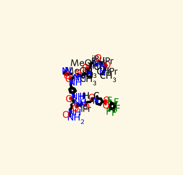 CC[C@H](C)[C@@H]([C@@H](CC(=O)N1CCC[C@H]1[C@H](OC)[C@@H](C)C(=O)N[C@@H](Cc1nnco1)C(=O)NCc1ccc(NC(=O)[C@H](CCCNC(N)=O)NC(=O)[C@@H](NC(=O)CCC(=O)N2CCC(C(=O)Oc3c(F)c(F)c(F)c(F)c3F)CC2C)C(C)C)cc1)OC)N(C)C(=O)[C@@H](NC(=O)[C@H](C(C)C)N(C)C)C(C)C